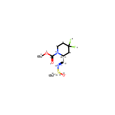 CC(C)(C)OC(=O)N1CCC(F)(F)C[C@@H]1/C=N/[S@+]([O-])C(C)(C)C